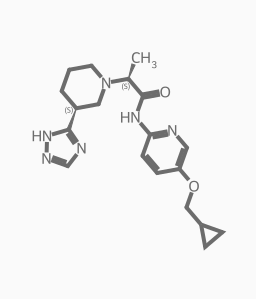 C[C@@H](C(=O)Nc1ccc(OCC2CC2)cn1)N1CCC[C@H](c2ncn[nH]2)C1